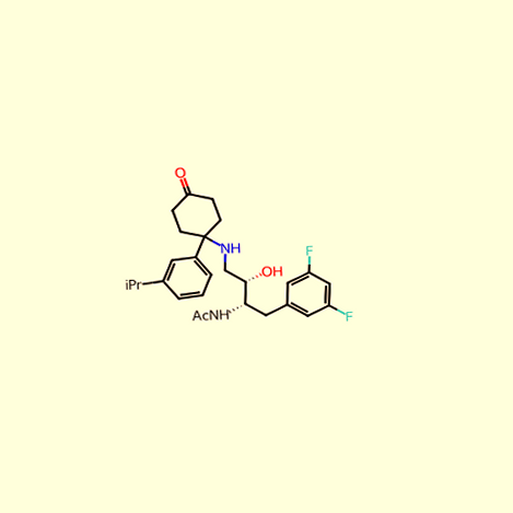 CC(=O)N[C@@H](Cc1cc(F)cc(F)c1)[C@@H](O)CNC1(c2cccc(C(C)C)c2)CCC(=O)CC1